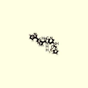 Cc1ncc(NC(=O)CN2CCCC2C)cc1NC(=O)c1cnn2cc(-c3cnn4c3CCC4)sc12